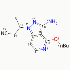 CCCCOc1nccc2c1c(N)nn2C(C)CC#N